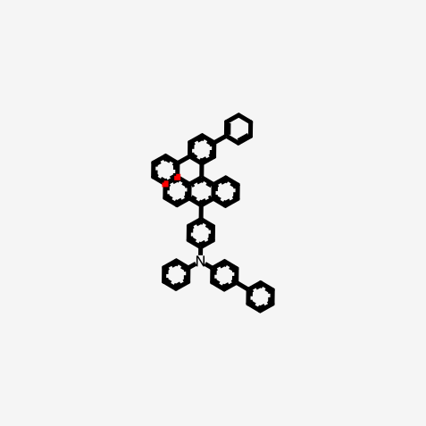 C1=CC(c2ccc(-c3ccccc3)c(-c3c4ccccc4c(-c4ccc(N(c5ccccc5)c5ccc(-c6ccccc6)cc5)cc4)c4ccccc34)c2)=CCC1